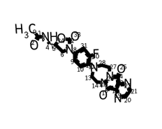 CC(=O)NC[C@H]1CN(c2ccc(N3CCn4c(=O)c5nccnc5c(=O)n4CC3)c(F)c2)C(=O)O1